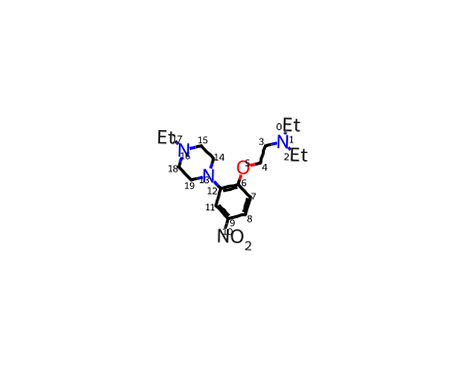 CCN(CC)CCOc1ccc([N+](=O)[O-])cc1N1CCN(CC)CC1